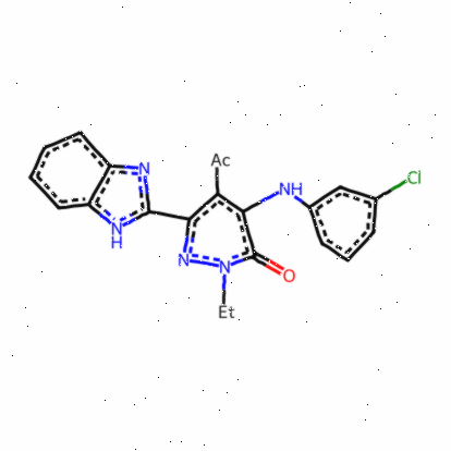 CCn1nc(-c2nc3ccccc3[nH]2)c(C(C)=O)c(Nc2cccc(Cl)c2)c1=O